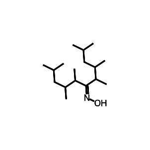 CC(C)CC(C)C(C)C(=NO)C(C)C(C)CC(C)C